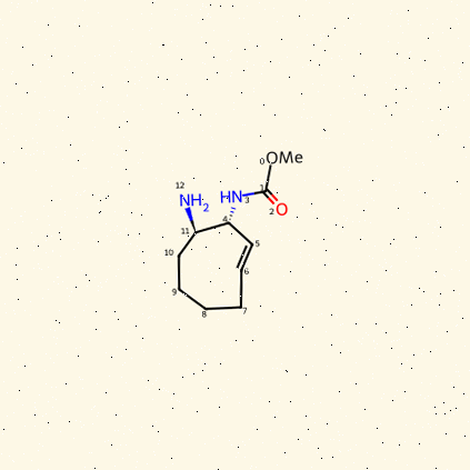 COC(=O)N[C@@H]1/C=C/CCCC[C@H]1N